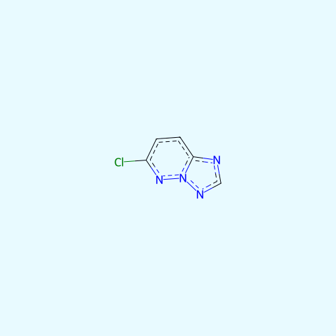 Clc1ccc2ncnn2n1